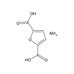 O=C(O)c1ccc(C(=O)O)o1.[AlH3]